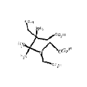 NC(CC(=O)O)(CC(=O)O)C(N)(N)N(CC(=O)O)CC(=O)O